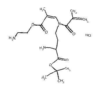 C=C(C)C(=O)N(C=C(C)C(=O)OCCN)CCC(N)C(=O)OC(C)(C)C.Cl